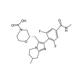 CNC(=O)c1cc(F)c(-c2nc3n(c2C[C@H]2CN(C(=O)O)CCO2)CCC(C)C3)c(F)c1